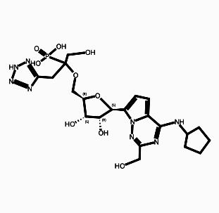 O=P(O)(O)C(CO)(Cc1nn[nH]n1)OC[C@H]1O[C@@H](c2ccc3c(NC4CCCC4)nc(CO)nn23)[C@H](O)[C@@H]1O